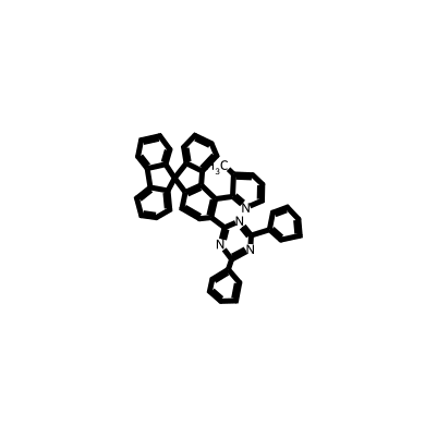 Cc1cccnc1-c1c(-c2nc(-c3ccccc3)nc(-c3ccccc3)n2)ccc2c1-c1ccccc1C21c2ccccc2-c2ccccc21